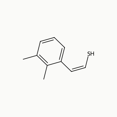 Cc1cccc(/C=C\S)c1C